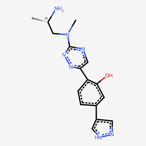 C[C@H](N)CN(C)c1ncc(-c2ccc(-c3cn[nH]c3)cc2O)nn1